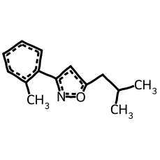 Cc1ccccc1-c1cc(CC(C)C)on1